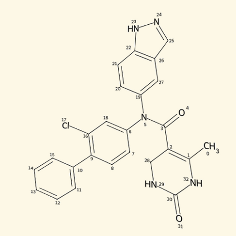 CC1=C(C(=O)N(c2ccc(-c3ccccc3)c(Cl)c2)c2ccc3[nH]ncc3c2)CNC(=O)N1